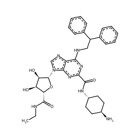 CCNC(=O)[C@H]1O[C@@H](n2cnc3c(NCC(c4ccccc4)c4ccccc4)nc(C(=O)N[C@H]4CC[C@H](N)CC4)nc32)[C@H](O)[C@@H]1O